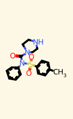 Cc1ccc(S(=O)(=O)N(C(=O)N2CCNCC2)c2ccccc2)cc1